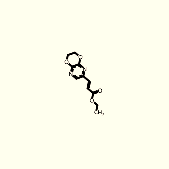 CCOC(=O)/C=C/c1cnc2c(n1)OCCO2